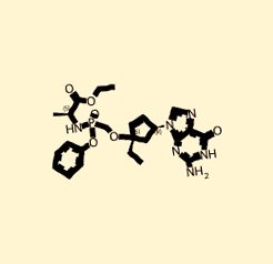 CCOC(=O)[C@H](C)NP(=O)(CO[C@]1(CC)C=C[C@H](n2cnc3c(=O)[nH]c(N)nc32)C1)Oc1ccccc1